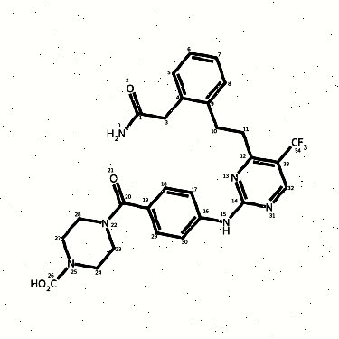 NC(=O)Cc1ccccc1CCc1nc(Nc2ccc(C(=O)N3CCN(C(=O)O)CC3)cc2)ncc1C(F)(F)F